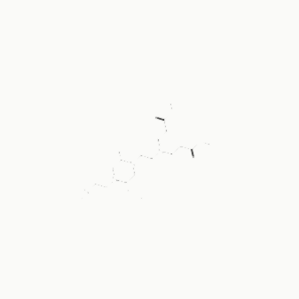 COC(=O)CCN(CCC(=O)OC)CCN1C[C@H](C)N(CCN)C[C@H]1C